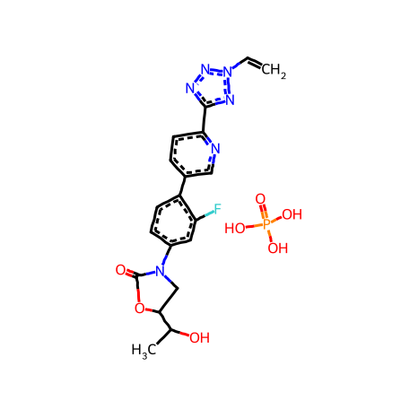 C=Cn1nnc(-c2ccc(-c3ccc(N4CC(C(C)O)OC4=O)cc3F)cn2)n1.O=P(O)(O)O